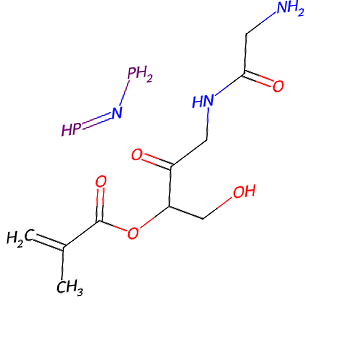 C=C(C)C(=O)OC(CO)C(=O)CNC(=O)CN.P=NP